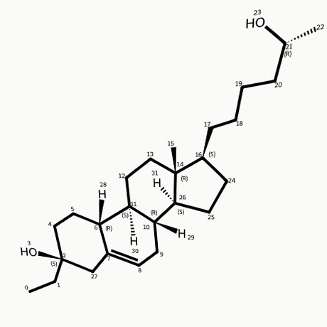 CC[C@]1(O)CC[C@H]2C(=CC[C@@H]3[C@@H]2CC[C@]2(C)[C@@H](CCCC[C@@H](C)O)CC[C@@H]32)C1